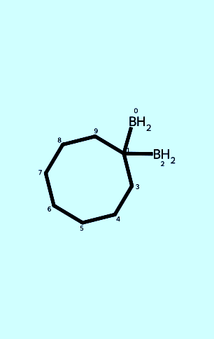 BC1(B)CCCCCCC1